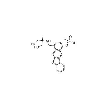 CC(CO)(CO)NCc1cccc2cc3c(cc12)oc1ccccc13.CS(=O)(=O)O